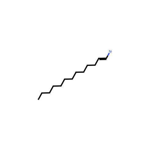 CCCCCCCCCCCC=C[N]